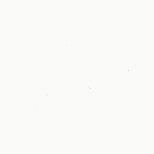 CC1(C)C(=O)C(=O)C(=CNc2ccccc2)C(=O)C1=O